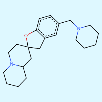 c1cc2c(cc1CN1CCCCC1)CC1(CCN3CCCCC3C1)O2